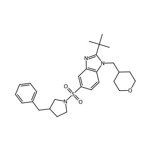 CC(C)(C)c1nc2cc(S(=O)(=O)N3CCC(Cc4ccccc4)C3)ccc2n1CC1CCOCC1